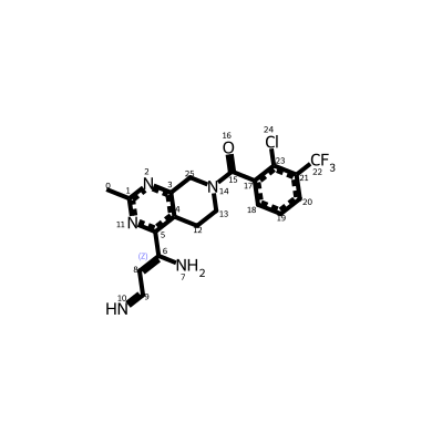 Cc1nc2c(c(/C(N)=C/C=N)n1)CCN(C(=O)c1cccc(C(F)(F)F)c1Cl)C2